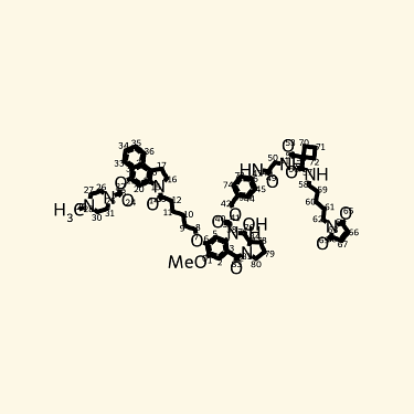 COc1cc2c(cc1OCCCCCC(=O)N1CCc3c1cc(OC(=O)N1CCN(C)CC1)c1ccccc31)N(C(=O)OCc1ccc(NC(=O)CNC(=O)C3(C(=O)NCCCCCN4C(=O)C=CC4=O)CCC3)cc1)C(O)[C@@H]1CCCN1C2=O